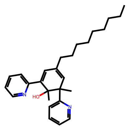 CCCCCCCCCC1=CC(C)(c2ccccn2)C(C)(O)C(c2ccccn2)=C1